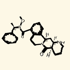 CON(C(=O)c1cccc2c1CCN1C(=O)[C@@H]3CCCN[C@@H]3C[C@H]21)[C@H](C)c1ccccc1